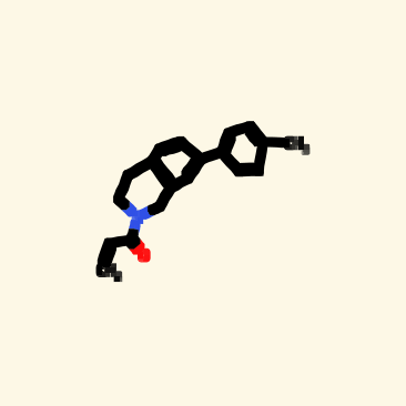 C=CC(=O)N1CCc2ccc(-c3ccc(C)cc3)cc2C1